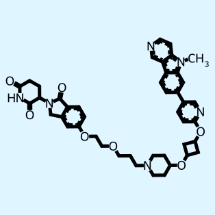 Cn1c2ccncc2c2ccc(-c3ccc(OC4CC(OC5CCN(CCCOCCOc6ccc7c(c6)CN(C6CCC(=O)NC6=O)C7=O)CC5)C4)nc3)cc21